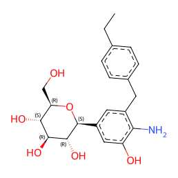 CCc1ccc(Cc2cc([C@@H]3O[C@H](CO)[C@@H](O)[C@H](O)[C@H]3O)cc(O)c2N)cc1